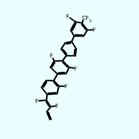 C=C/C(F)=C(\F)c1ccc(-c2cc(F)c(-c3ccc(-c4cc(F)c(C(F)(F)F)c(F)c4)cc3)c(F)c2)c(F)c1